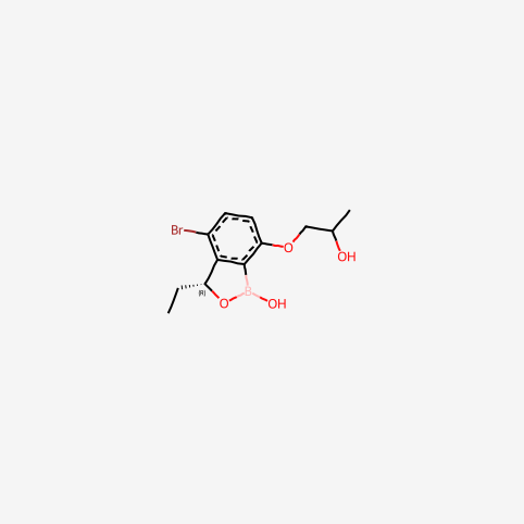 CC[C@H]1OB(O)c2c(OCC(C)O)ccc(Br)c21